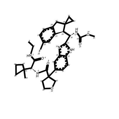 CCNC(=O)[C@H](NC(=O)C1(c2ccc3[nH]c([C@@H](NC(=O)OC)[C@H]4c5cc(F)ccc5CC45CC5)nc3c2)CCOC1)C1(C)CCC1